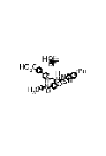 CN1CC(NC(=O)c2cccc([C@@H](CCN3CCC(c4ccc(C(=O)O)cc4)CC3)NC(=O)c3nc4cc5c(nc4s3)CC[C@H](C(C)(C)C)C5)c2)C1.O=C(O)C(F)(F)F